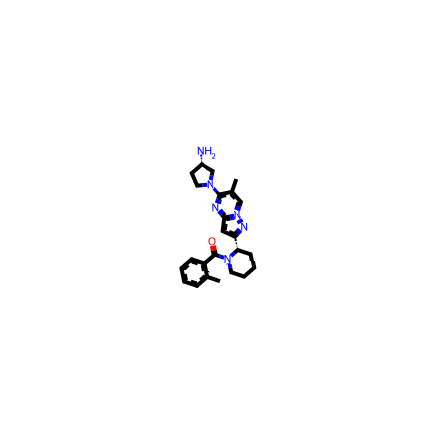 Cc1ccccc1C(=O)N1CCCC[C@H]1c1cc2nc(N3CC[C@H](N)C3)c(C)cn2n1